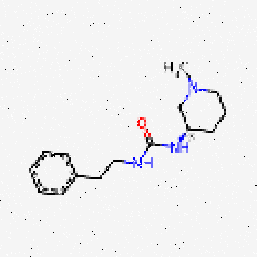 CN1CCC[C@@H](NC(=O)NCCc2ccccc2)C1